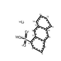 O=S(=O)(O)c1cccc2cc3ccccc3cc12.[Li]